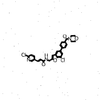 O=C(/C=C/c1ccc(Cl)nc1)NCc1cc2cc(-c3ccc(C(=O)N4CCOCC4)cc3)cc(Cl)c2o1